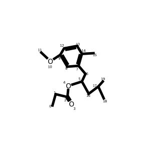 CCC(=O)OC(Cc1cc(OC)ccc1C)CC(C)C